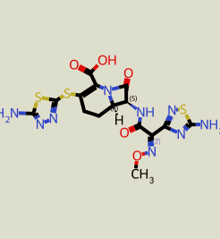 CO/N=C(\C(=O)N[C@@H]1C(=O)N2C(C(=O)O)=C(Sc3nnc(N)s3)CC[C@H]12)c1nsc(N)n1